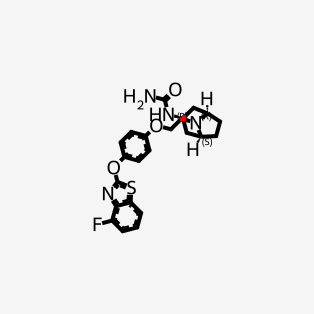 NC(=O)N[C@H]1C[C@H]2CC[C@@H](C1)N2CCOc1ccc(Oc2nc3c(F)cccc3s2)cc1